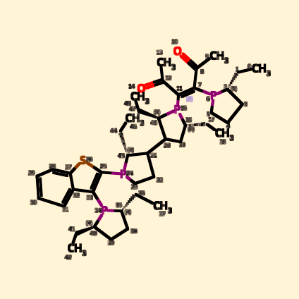 CC[C@@H]1CCCP1/C(C(C)=O)=C(/C(C)=O)P1[C@H](CC)CC(C2CCP(c3sc4ccccc4c3P3[C@H](CC)CC[C@H]3CC)[C@@H]2CC)[C@H]1CC